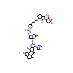 C#Cc1c(F)ccc2cc(O)cc(-c3ncc4c(N5CC6CCC(C5)N6)nc(OC[C@@]56CC[C@@H](COC(=O)N7CCC(CCCNc8cccc9c8C(=O)N(C8CCC(=O)NC8=O)C9=O)CC7)N5CC(=C)C6)nc4c3F)c12